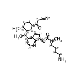 C[C@@H]1CCN(C(=O)CC#N)C[C@@H]1N(C)c1ncnc2c1ccn2OC(=O)N(C)CCCCN